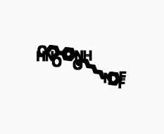 O=C1CCC(c2ccc(NC(=O)CCCCCCN3CCC(F)(F)CC3)cc2)C(=O)N1